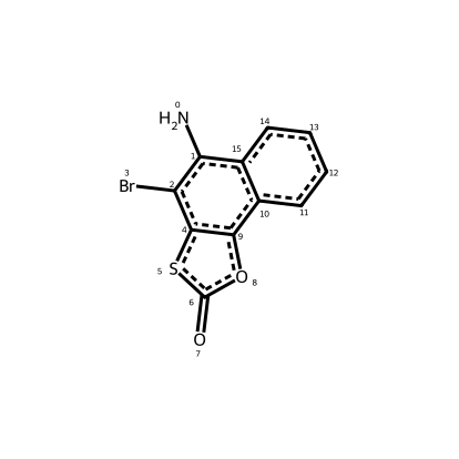 Nc1c(Br)c2sc(=O)oc2c2ccccc12